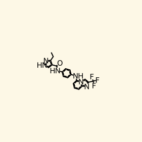 CCc1n[nH]cc1C(=O)Nc1ccc(Nc2cccc3nc(C(F)(F)F)cn23)cc1